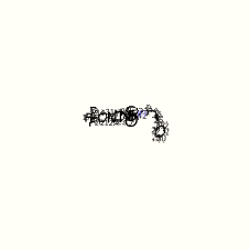 CC(C)(/C=C/S(=O)(=O)N1CCN(c2ccc(C(F)(F)F)cc2)CC1)CC#Cc1ccccc1